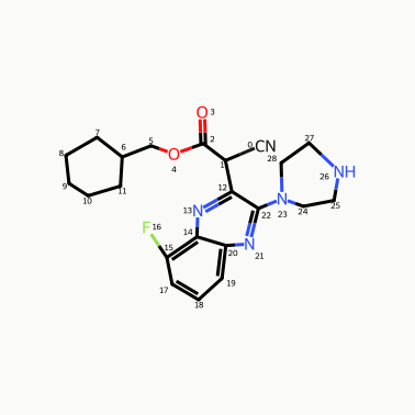 N#CC(C(=O)OCC1CCCCC1)c1nc2c(F)cccc2nc1N1CCNCC1